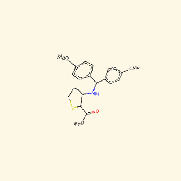 COC(=O)C1SCCC1NC(c1ccc(OC)cc1)c1ccc(OC)cc1